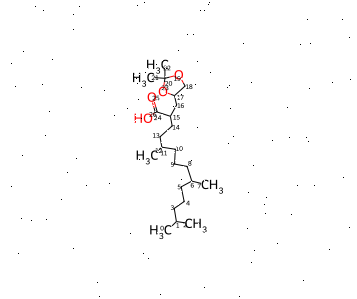 CC(C)CCCC(C)CCCC(C)CCC(CC1COC(C)(C)O1)C(=O)O